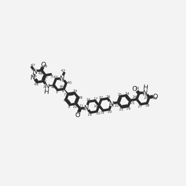 Cc1c(N[C@@H]2C[C@H](c3ccc(C(=O)N4CCC5(CC4)CCN(c4ccc(C6CCC(=O)NC6=O)cc4)CC5)cc3)CN(C)C2)cnn(C)c1=O